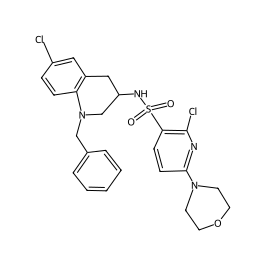 O=S(=O)(NC1Cc2cc(Cl)ccc2N(Cc2ccccc2)C1)c1ccc(N2CCOCC2)nc1Cl